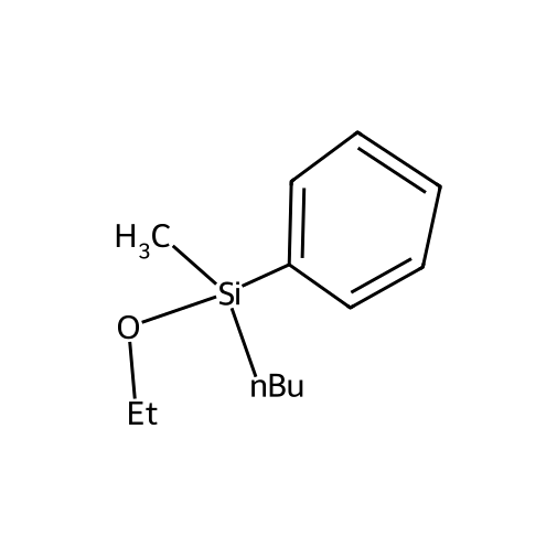 CCCC[Si](C)(OCC)c1ccccc1